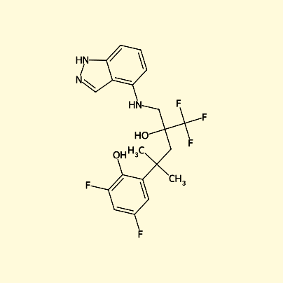 CC(C)(CC(O)(CNc1cccc2[nH]ncc12)C(F)(F)F)c1cc(F)cc(F)c1O